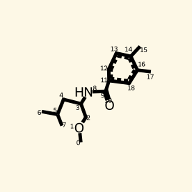 COCC(CC(C)C)NC(=O)c1ccc(C)c(C)c1